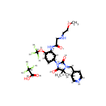 COCCNCC(=O)Nc1cc(N2C(=O)N(Cc3ccncc3)C(C)(C)C2=O)ccc1OC(F)(F)F.O=C(O)C(F)(F)F